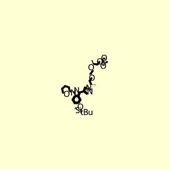 C[C@@H](COS(C)(=O)=O)OCCOC[C@H](C)n1cc(-c2nn(C3CCCCO3)c3ccc(O[Si](C)(C)C(C)(C)C)cc23)cn1